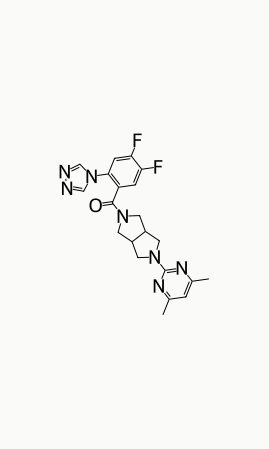 Cc1cc(C)nc(N2CC3CN(C(=O)c4cc(F)c(F)cc4-n4cnnc4)CC3C2)n1